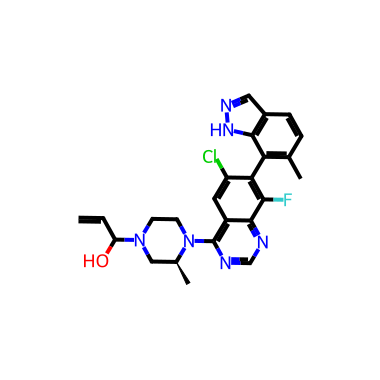 C=CC(O)N1CCN(c2ncnc3c(F)c(-c4c(C)ccc5cn[nH]c45)c(Cl)cc23)[C@@H](C)C1